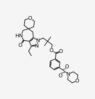 CCc1nn(CC(C)(C)COC(=O)c2cccc(S(=O)(=O)N3CCOCC3)c2)c2c1C(=O)NCC1(CCOCC1)C2